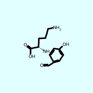 NCCC[C@H](N)C(=O)O.O=Cc1ccc(O)cc1